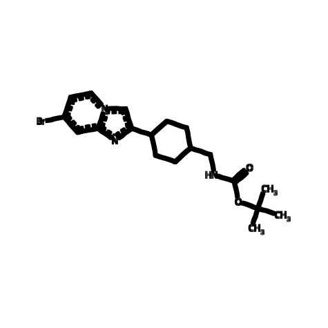 CC(C)(C)OC(=O)NCC1CCC(c2cn3ccc(Br)cc3n2)CC1